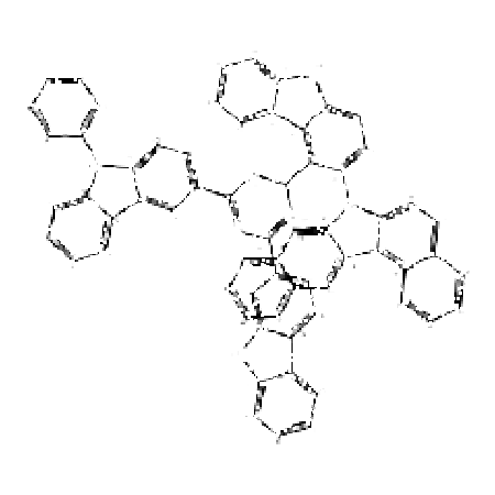 c1ccc(-n2c3ccccc3c3cc(C4=NC(c5ccc6c(c5)sc5ccccc56)=NC(c5c(-n6c7cc8ccccc8cc7c7c8ccccc8ccc76)ccc6oc7ccccc7c56)N4)ccc32)cc1